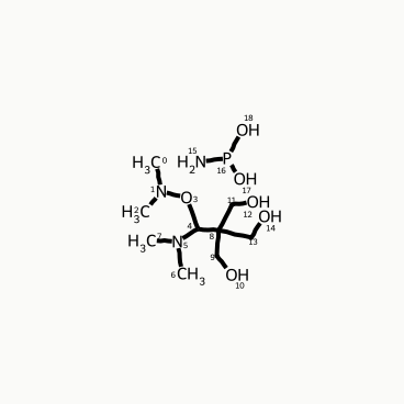 CN(C)OC(N(C)C)C(CO)(CO)CO.NP(O)O